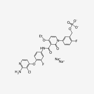 CCOc1ccn(-c2ccc(F)c(COP(=O)([O-])[O-])c2)c(=O)c1C(=O)Nc1ccc(Oc2ccnc(N)c2Cl)c(F)c1.[Na+].[Na+]